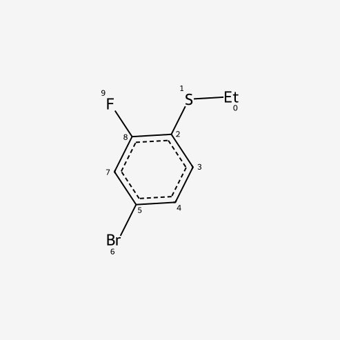 CCSc1ccc(Br)cc1F